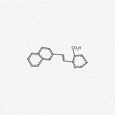 O=C(O)c1cccnc1C=Cc1ccc2ccccc2c1